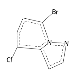 Clc1ccc(Br)n2nccc12